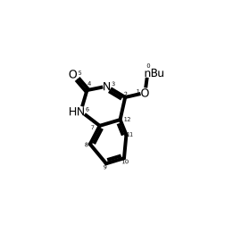 CCCCOc1nc(=O)[nH]c2ccccc12